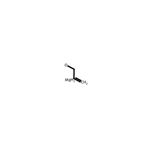 C=CC[O].[MgH2]